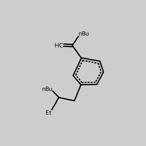 [CH]=C(CCCC)c1cc[c]c(CC(CC)CCCC)c1